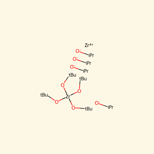 CC(C)(C)[O][Zr]([O]C(C)(C)C)([O]C(C)(C)C)[O]C(C)(C)C.CC(C)[O-].CC(C)[O-].CC(C)[O-].CC(C)[O-].[Zr+4]